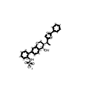 CC(c1csc(-c2ccccc2)n1)[C@@H]1COc2cc(-c3ccccc3NS(=O)(=O)C(F)(F)F)ccc2[C@H]1O